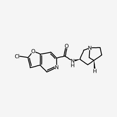 O=C(N[C@@H]1C[C@H]2CCN(C2)C1)c1cc2oc(Cl)cc2cn1